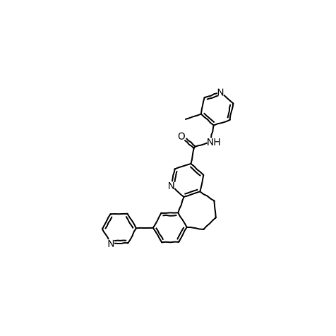 Cc1cnccc1NC(=O)c1cnc2c(c1)CCCc1ccc(-c3cccnc3)cc1-2